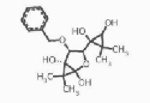 CC1(C)C2(O)O[C@H]([C@]3(O)C(O)C3(C)C)[C@H](OCc3ccccc3)[C@]12O